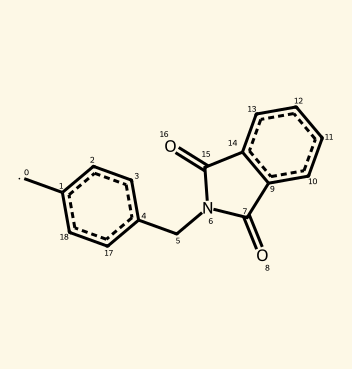 [CH2]c1ccc(CN2C(=O)c3ccccc3C2=O)cc1